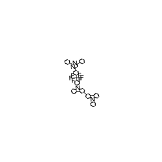 FC(F)(F)C(c1ccc(-c2cc(-c3ccccc3)nc(-c3ccccc3)n2)cc1)(c1ccc(-n2c3ccccc3c3cc(-c4ccc5c(c4)c4ccccc4n5-c4ccccc4)ccc32)cc1)C(F)(F)F